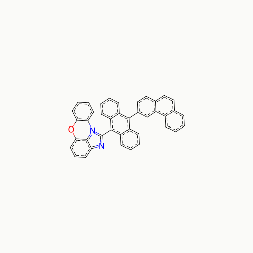 c1ccc2c(c1)Oc1cccc3nc(-c4c5ccccc5c(-c5ccc6ccc7ccccc7c6c5)c5ccccc45)n-2c13